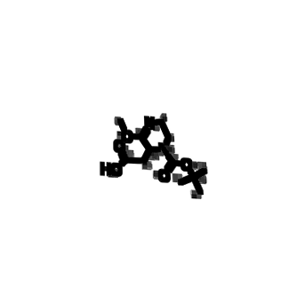 COC1=NCCN(C(=O)OC(C)(C)C)C1CC(=O)O